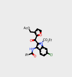 CCOC(=O)n1c(C(=O)c2occc2COC(C)=O)c(NC(=O)C(C)C)c2ccc(Cl)cc21